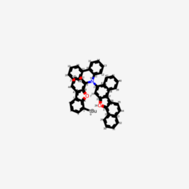 CC(C)(C)c1cccc2c1oc1c(N(c3ccccc3-c3ccccc3)c3cc4oc5c6ccccc6ccc5c4c4ccccc34)cccc12